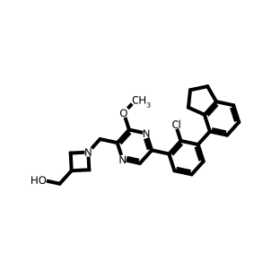 COc1nc(-c2cccc(-c3cccc4c3CCC4)c2Cl)cnc1CN1CC(CO)C1